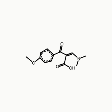 COc1ccc(C(=O)C(=CN(C)C)C(=O)O)cc1